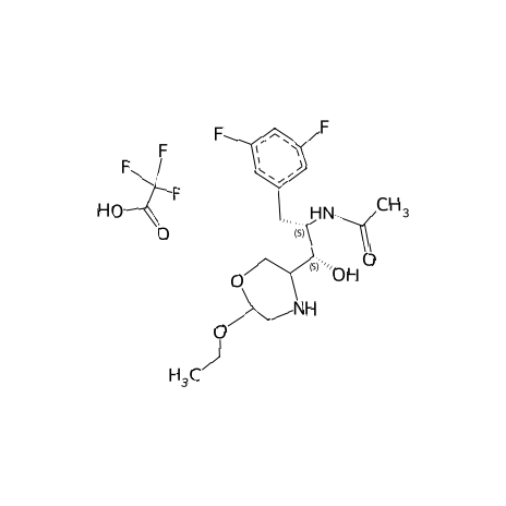 CCOC1CNC([C@@H](O)[C@H](Cc2cc(F)cc(F)c2)NC(C)=O)CO1.O=C(O)C(F)(F)F